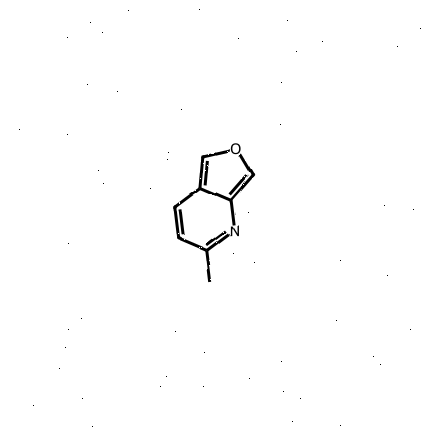 Cc1ccc2cocc2n1